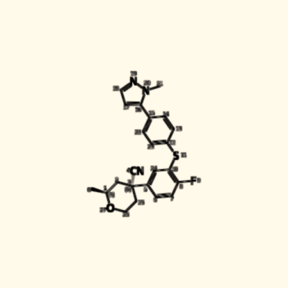 C[C@H]1C[C@@](C#N)(c2ccc(F)c(Sc3ccc(-c4ccnn4C)cc3)c2)CCO1